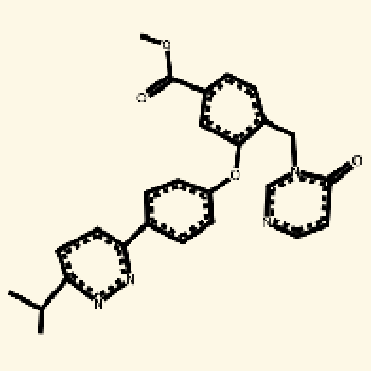 COC(=O)c1ccc(Cn2cnccc2=O)c(Oc2ccc(-c3ccc(C(C)C)nn3)cc2)c1